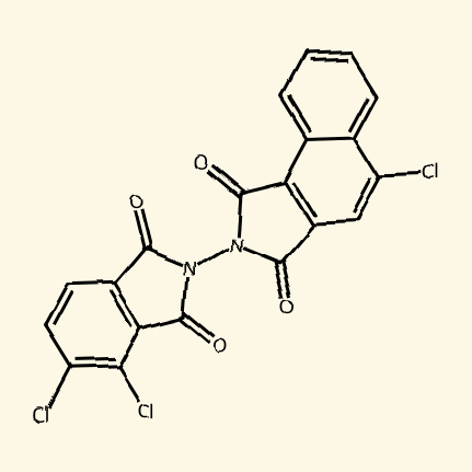 O=C1c2ccc(Cl)c(Cl)c2C(=O)N1N1C(=O)c2cc(Cl)c3ccccc3c2C1=O